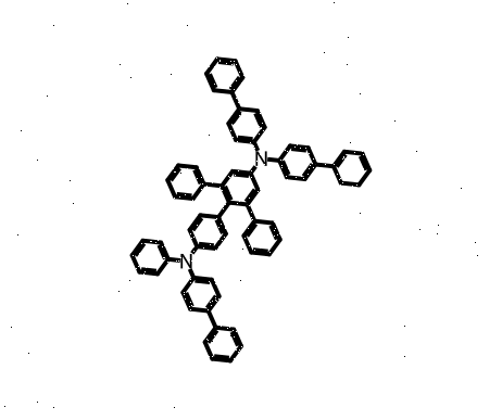 C1=CCCC(c2ccc(N(c3ccc(-c4ccccc4)cc3)c3cc(-c4ccccc4)c(-c4ccc(N(c5ccccc5)c5ccc(-c6ccccc6)cc5)cc4)c(-c4ccccc4)c3)cc2)=C1